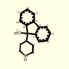 OC1(C2CCNCC2)c2ccccc2-c2ccccc21